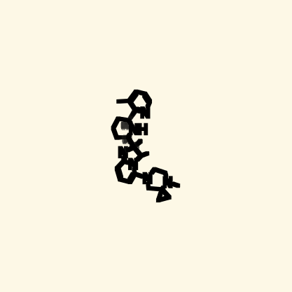 Cc1cccnc1[C@@H]1CCC[C@H]([C@@]2(C)N=C3C=CC=C(N4CCN(C)C5(CC5)C4)N3C2C)N1